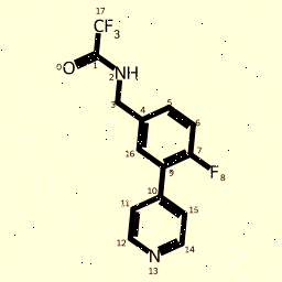 O=C(NCc1ccc(F)c(-c2ccncc2)c1)C(F)(F)F